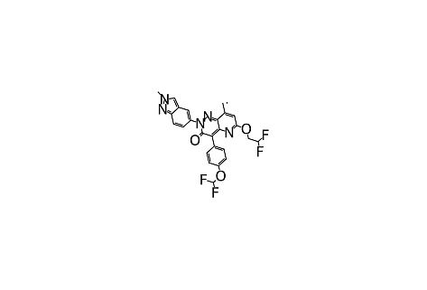 [CH2]c1cc(OCC(F)F)nc2c(-c3ccc(OC(F)F)cc3)c(=O)n(-c3ccc4nn(C)cc4c3)nc12